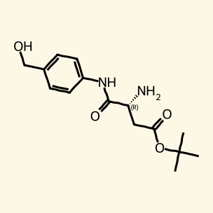 CC(C)(C)OC(=O)C[C@@H](N)C(=O)Nc1ccc(CO)cc1